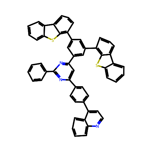 c1ccc(-c2nc(-c3ccc(-c4ccnc5ccccc45)cc3)cc(-c3cc(-c4cccc5c4sc4ccccc45)cc(-c4cccc5c4sc4ccccc45)c3)n2)cc1